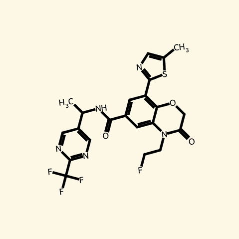 Cc1cnc(-c2cc(C(=O)NC(C)c3cnc(C(F)(F)F)nc3)cc3c2OCC(=O)N3CCF)s1